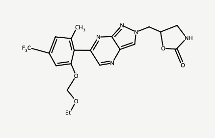 CCOCOc1cc(C(F)(F)F)cc(C)c1-c1cnc2cn(CC3CNC(=O)O3)nc2n1